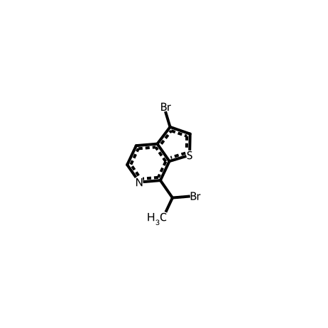 CC(Br)c1nccc2c(Br)csc12